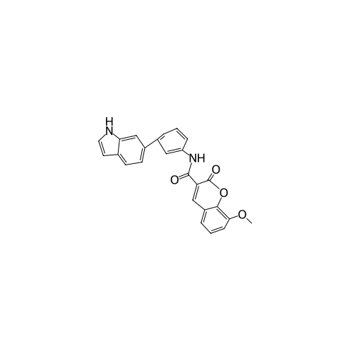 COc1cccc2cc(C(=O)Nc3cccc(-c4ccc5cc[nH]c5c4)c3)c(=O)oc12